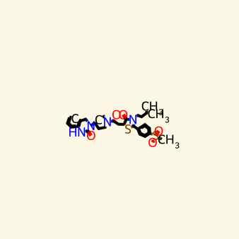 CC(C)CCN1C(=O)C(CC(=O)N2CCC(N3Cc4ccccc4NC3=O)CC2)SC1c1ccc(S(C)(=O)=O)cc1